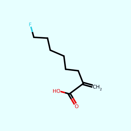 C=C(CCCCCCF)C(=O)O